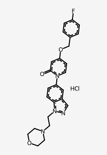 Cl.O=c1cc(OCc2ccc(F)cc2)ccn1-c1ccc2c(cnn2CCN2CCOCC2)c1